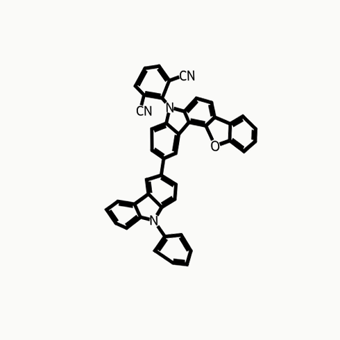 N#Cc1cccc(C#N)c1-n1c2ccc(-c3ccc4c(c3)c3ccccc3n4-c3ccccc3)cc2c2c3oc4ccccc4c3ccc21